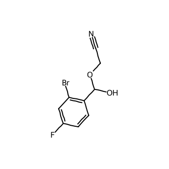 N#CCOC(O)c1ccc(F)cc1Br